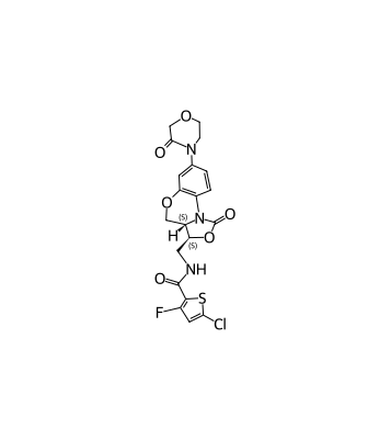 O=C(NC[C@@H]1OC(=O)N2c3ccc(N4CCOCC4=O)cc3OC[C@@H]12)c1sc(Cl)cc1F